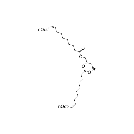 CCCCCCCC/C=C\CCCCCCCC(=O)OC[C@@H](CBr)OC(=O)CCCCCCC/C=C\CCCCCCCC